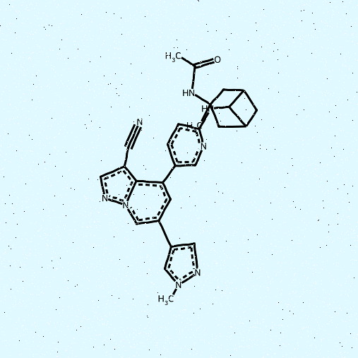 CC(=O)NC1(C)CC2CC(C1)C2Nc1ccc(-c2cc(-c3cnn(C)c3)cn3ncc(C#N)c23)cn1